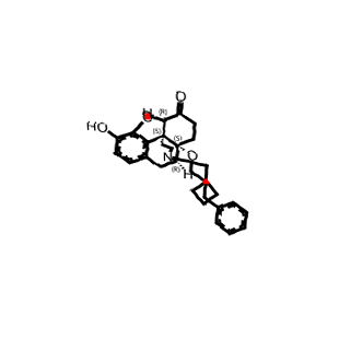 O=C1CC[C@@]2(OCCCc3ccccc3)[C@H]3Cc4ccc(O)c5c4[C@@]2(CCN3CC2CCC2)[C@H]1O5